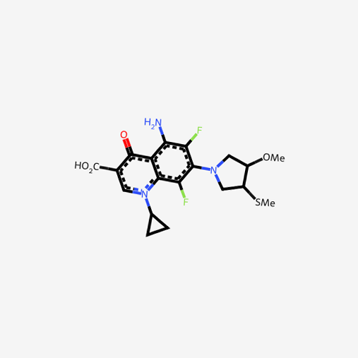 COC1CN(c2c(F)c(N)c3c(=O)c(C(=O)O)cn(C4CC4)c3c2F)CC1SC